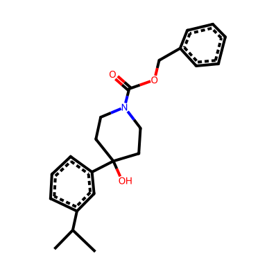 CC(C)c1cccc(C2(O)CCN(C(=O)OCc3ccccc3)CC2)c1